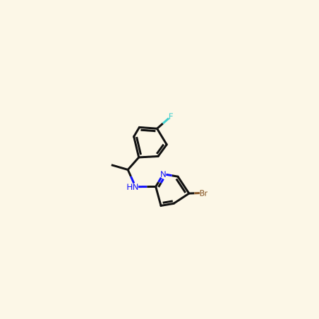 CC(Nc1ccc(Br)cn1)c1ccc(F)cc1